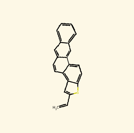 C=Cc1cc2c(ccc3c4cc5ccccc5cc4ccc23)s1